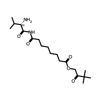 CC(C)[C@H](N)C(=O)NC(=O)CCCCCCC(=O)OCC(=O)C(C)(C)C